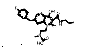 CCCNC(=O)c1c(O)c2ncc(Cc3ccc(F)cc3)cc2n(CCN(C)C(=O)O)c1=O